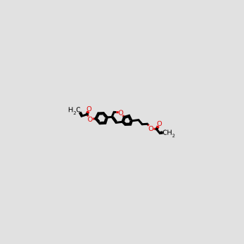 C=CC(=O)OCCCc1ccc2c(c1)OCC(c1ccc(OC(=O)C=C)cc1)=C2